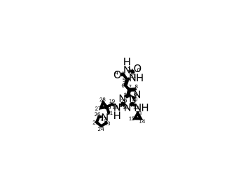 O=C1NC(=O)/C(=C/c2cnn3c(NC4CC4)nc(NCC4(CN5CCCC5)CC4)nc23)N1